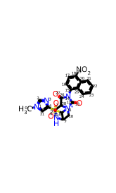 Cn1cnc(S(=O)(=O)C2C3C[N+]24C(=O)N(c2ccc([N+](=O)[O-])c5ccccc25)C(=O)C4CN3)c1